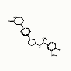 COc1cc([C@@H](C)N[C@H]2CC[C@@H](c3ccc(N4CCNC(=O)C4)nc3)C2)ccc1F